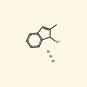 CC1=Cc2ccccc2[CH]1[Ti+3].[Br-].[Br-].[Br-]